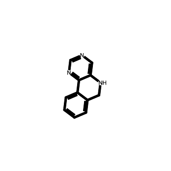 c1ccc2c(c1)CNc1cncnc1-2